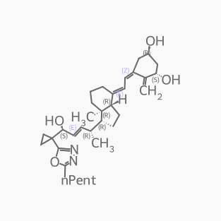 C=C1/C(=C\C=C2/CCC[C@]3(C)[C@@H]([C@H](C)/C=C/[C@H](O)C4(c5nnc(CCCCC)o5)CC4)CC[C@@H]23)C[C@@H](O)C[C@@H]1O